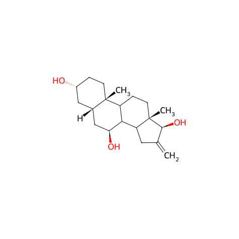 C=C1CC2C3C(CC[C@]2(C)[C@H]1O)[C@@]1(C)CC[C@@H](O)C[C@H]1C[C@@H]3O